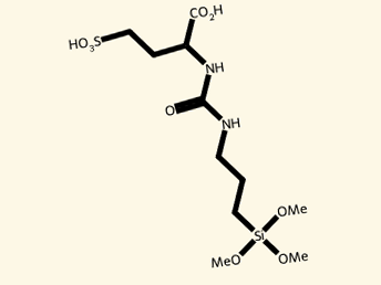 CO[Si](CCCNC(=O)NC(CCS(=O)(=O)O)C(=O)O)(OC)OC